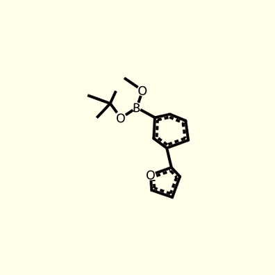 COB(OC(C)(C)C)c1cccc(-c2ccco2)c1